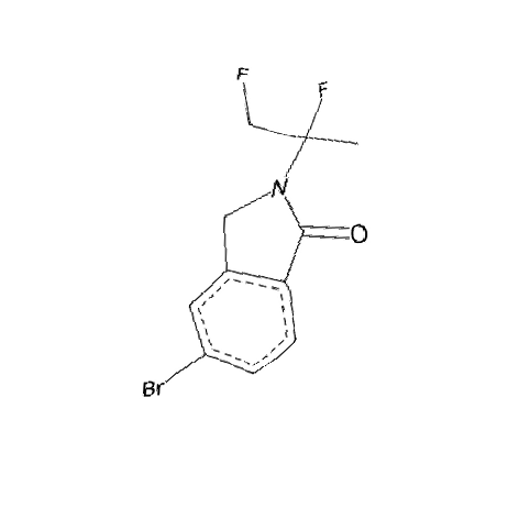 CC(F)(CF)N1Cc2cc(Br)ccc2C1=O